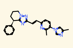 Cc1cn(-c2ccc(/C=C/c3nc4n(n3)CCC[C@@H]4c3ccccc3)nc2C)cn1